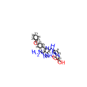 Nc1n[nH]c2cc(Nc3ccn(CC(=O)O)n3)nc(-c3ccc(Oc4ccccc4)cc3)c12